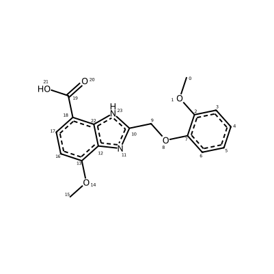 COc1ccccc1OCc1nc2c(OC)ccc(C(=O)O)c2[nH]1